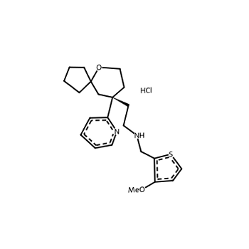 COc1ccsc1CNCC[C@]1(c2ccccn2)CCOC2(CCCC2)C1.Cl